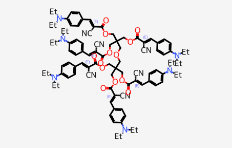 CCN(CC)c1ccc(/C=C(\C#N)C(=O)OCC(COCC(COC(=O)/C(C#N)=C/c2ccc(N(CC)CC)cc2)(COC(=O)/C(C#N)=C/c2ccc(N(CC)CC)cc2)COC(=O)/C(C#N)=C/c2ccc(N(CC)CC)cc2)(COC(=O)/C(C#N)=C/c2ccc(N(CC)CC)cc2)COC(=O)/C(C#N)=C/c2ccc(N(CC)CC)cc2)cc1